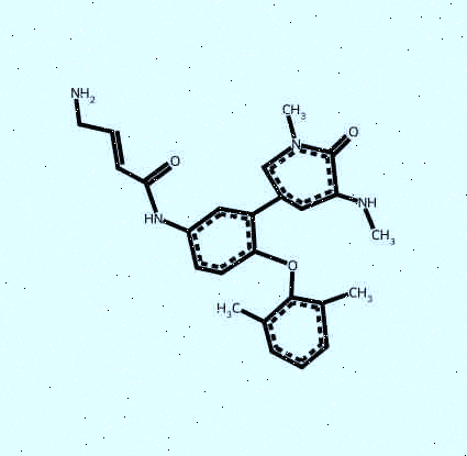 CNc1cc(-c2cc(NC(=O)/C=C/CN)ccc2Oc2c(C)cccc2C)cn(C)c1=O